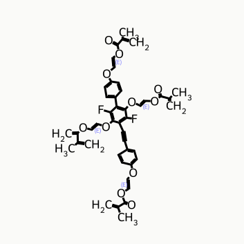 C=C(C)C(=C)O/C=C/Oc1c(F)c(-c2ccc(O/C=C/OC(=O)C(=C)C)cc2)c(O/C=C/OC(=O)C(=C)C)c(F)c1C#Cc1ccc(O/C=C/OC(=O)C(=C)C)cc1